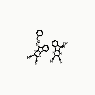 CO/N=C1\c2ccccc2-c2nc(C#N)c(C#N)nc21.N#Cc1nc2c(nc1C#N)-c1ccccc1/C2=N\OCc1ccccc1